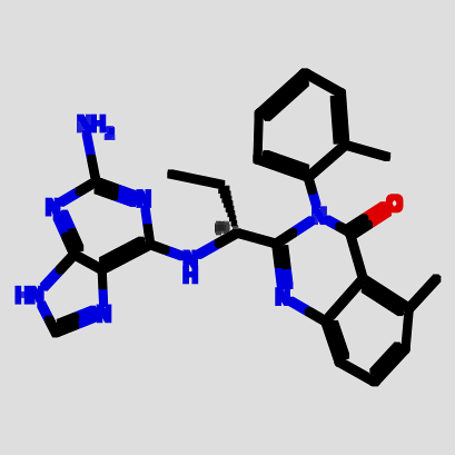 CC[C@@H](Nc1nc(N)nc2[nH]cnc12)c1nc2cccc(C)c2c(=O)n1-c1ccccc1C